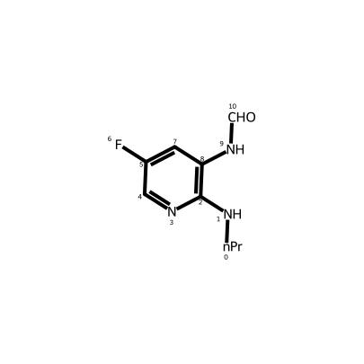 CCCNc1ncc(F)cc1NC=O